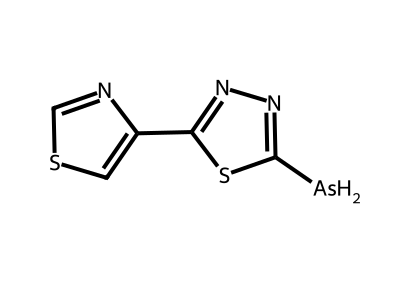 [AsH2]c1nnc(-c2cscn2)s1